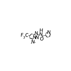 CN(C)c1cc(C(F)(F)F)cc2nc(NC(=O)c3cccnc3)nn12